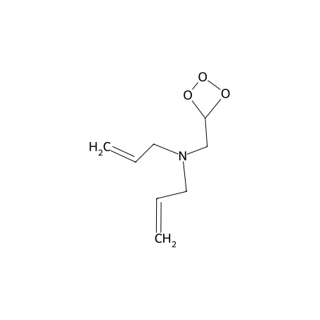 C=CCN(CC=C)CC1OOO1